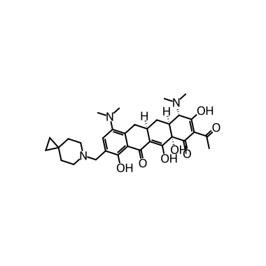 CC(=O)C1=C(O)[C@@H](N(C)C)[C@@H]2C[C@@H]3Cc4c(N(C)C)cc(CN5CCC6(CC5)CC6)c(O)c4C(=O)C3=C(O)[C@]2(O)C1=O